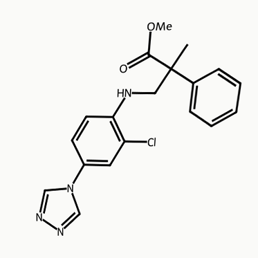 COC(=O)C(C)(CNc1ccc(-n2cnnc2)cc1Cl)c1ccccc1